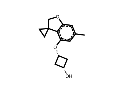 Cc1cc2c(c(O[C@H]3C[C@@H](O)C3)c1)C1(CC1)CO2